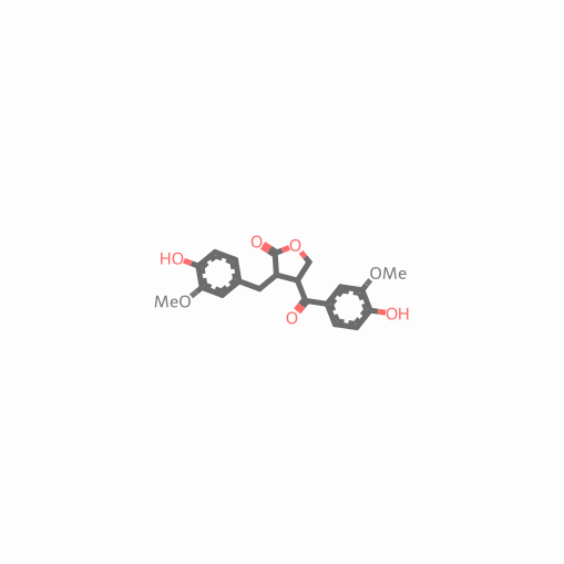 COc1cc(CC2C(=O)OCC2C(=O)c2ccc(O)c(OC)c2)ccc1O